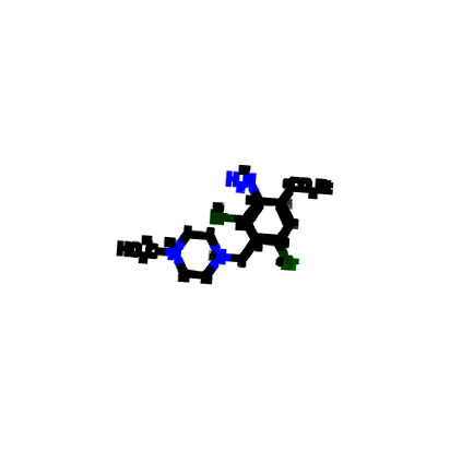 CCOC(=O)c1cc(Br)c(CN2CCN(C(=O)O)CC2)c(Br)c1N